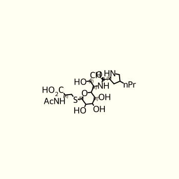 CCCC1CN[C@H](C(=O)N[C@@H](C2O[C@H](SC[C@H](NC(C)=O)C(=O)O)C(O)C(O)[C@H]2O)[C@@H](C)O)C1